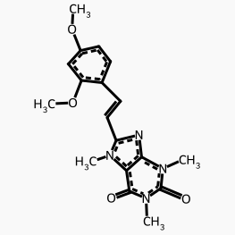 COc1ccc(/C=C/c2nc3c(c(=O)n(C)c(=O)n3C)n2C)c(OC)c1